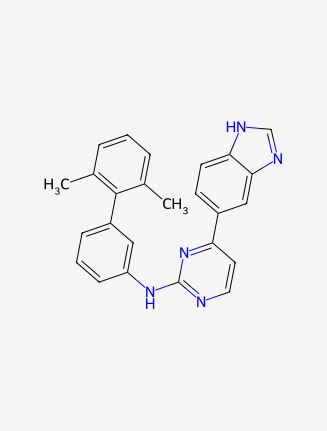 Cc1cccc(C)c1-c1cccc(Nc2nccc(-c3ccc4[nH]cnc4c3)n2)c1